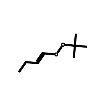 CCC=COOC(C)(C)C